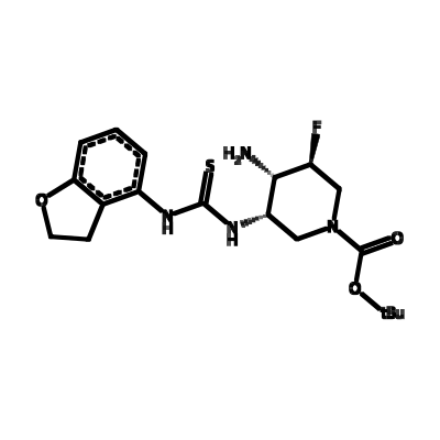 CC(C)(C)OC(=O)N1C[C@H](NC(=S)Nc2cccc3c2CCO3)[C@H](N)[C@@H](F)C1